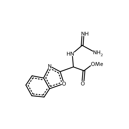 COC(=O)C(NC(=N)N)c1nc2ccccc2o1